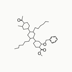 CCCCCCC1CC(C2CCC(C(=O)OC)C(OCc3ccccc3)C2)C(CCCCCC)CC1C1CCC(C(C)=O)C(C)C1